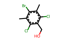 Cc1c(Cl)c(CO)c(Cl)c(C)c1Br